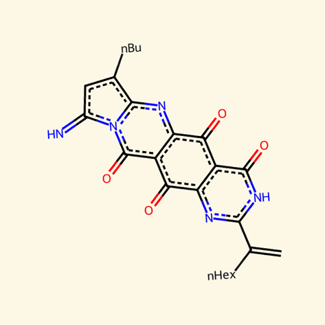 C=C(CCCCCC)c1nc2c(=O)c3c(=O)n4c(=N)cc(CCCC)c4nc3c(=O)c2c(=O)[nH]1